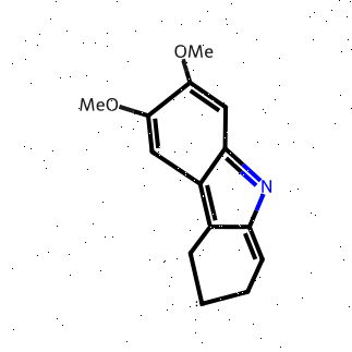 COc1cc2c(cc1OC)=C1C[C]CC=C1N=2